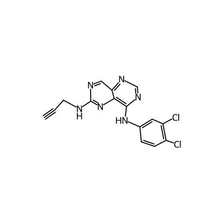 C#CCNc1ncc2ncnc(Nc3ccc(Cl)c(Cl)c3)c2n1